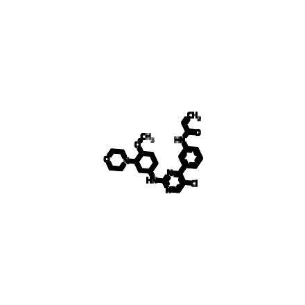 C=CC(=O)Nc1cccc(-c2nc(NC3CCC(OC)C(N4CCOCC4)C3)ncc2Cl)c1